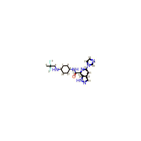 CC(F)(F)CN[C@H]1CC[C@@H](NC(=O)c2nc(-n3ccnc3)cc3cn[nH]c23)CC1